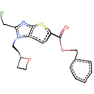 O=C(OCc1ccccc1)c1cc2c(nc(CCl)n2C[C@@H]2CCO2)s1